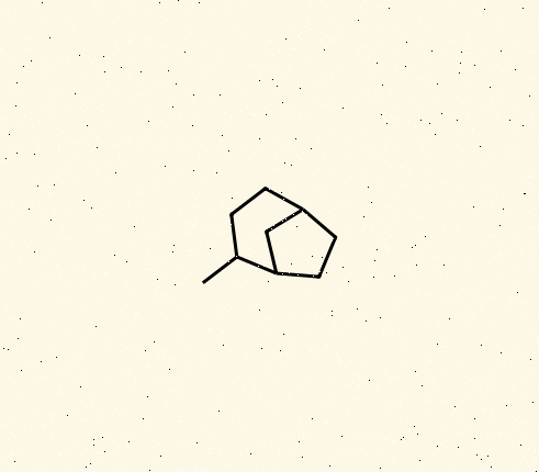 CC1CCC2CCC1C2